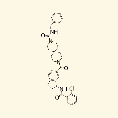 O=C(NC1CCc2ccc(C(=O)N3CCC4(CCN(C(=O)NCc5ccccc5)CC4)CC3)cc21)c1ccccc1Cl